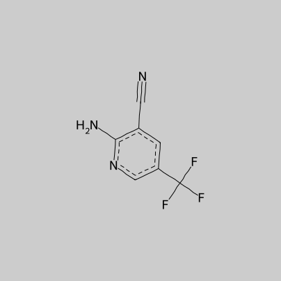 N#Cc1cc(C(F)(F)F)cnc1N